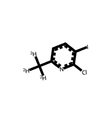 [2H]C([2H])([2H])c1ccc(I)c(Cl)n1